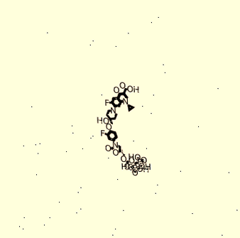 O=C(OC[C@H]1CN(c2ccc(OCC3(O)CCN(c4cc5c(cc4F)c(=O)c(C(=O)O)cn5C4CC4)CC3)c(F)c2)C(=O)O1)OC(P(=O)(O)O)P(=O)(O)O